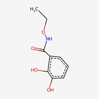 CCONC(=O)c1cccc(O)c1O